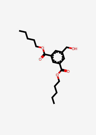 CCCCCOC(=O)c1cc(CO)cc(C(=O)OCCCCC)c1